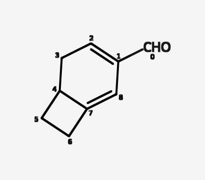 O=CC1=CCC2CCC2=C1